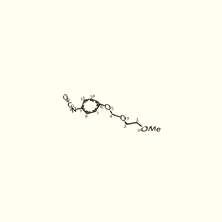 COCCOCOc1ccc(N=C=O)cc1